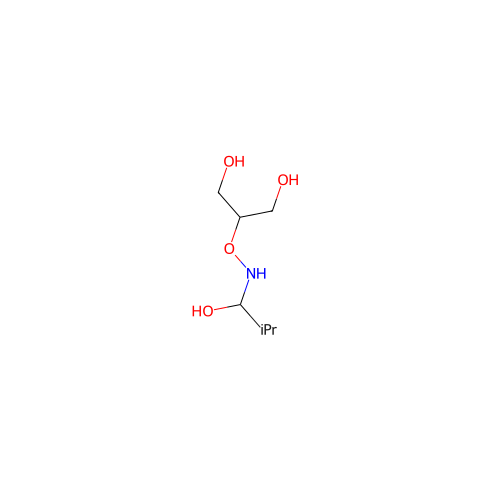 CC(C)C(O)NOC(CO)CO